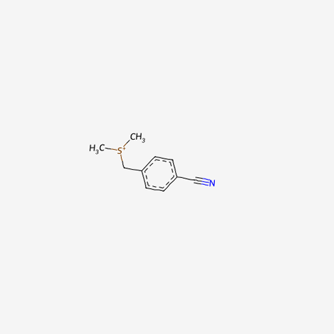 C[S+](C)Cc1ccc(C#N)cc1